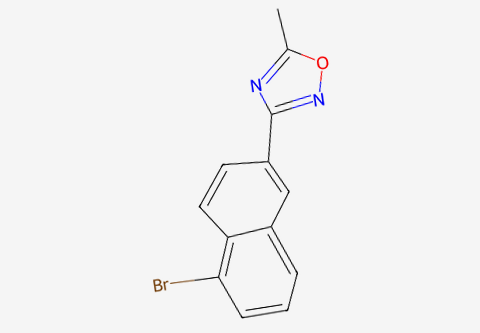 Cc1nc(-c2ccc3c(Br)cccc3c2)no1